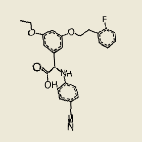 CCOc1cc(OCCc2ccccc2F)cc([C@@H](Nc2ccc(C#N)cc2)C(=O)O)c1